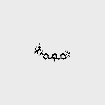 Cc1c(CN2CCN(C(=O)OC(C(F)(F)F)C(F)(F)F)CC2)cccc1CN1CCN(S(C)(=O)=O)CC1